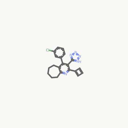 Clc1cccc(-c2c3c(nc(C4=CC=C4)c2-c2nnn[nH]2)CCCCC3)c1